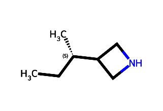 CC[C@H](C)C1CNC1